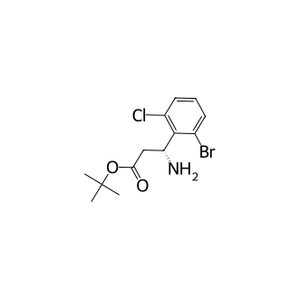 CC(C)(C)OC(=O)C[C@@H](N)c1c(Cl)cccc1Br